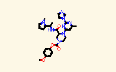 COc1ccc(OC(=O)N2CCN(c3cc(C)nc(-n4ccnc4)n3)C(C(=O)NC(C)c3cccn3C)C2)cc1